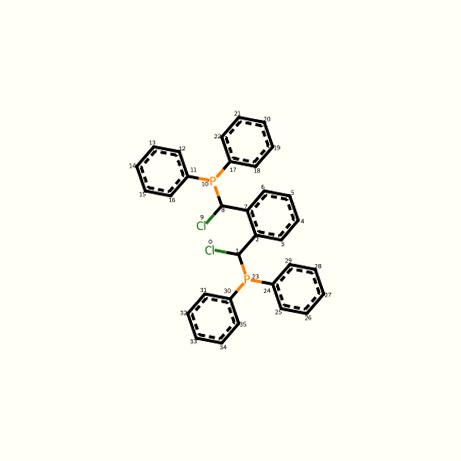 ClC(c1ccccc1C(Cl)P(c1ccccc1)c1ccccc1)P(c1ccccc1)c1ccccc1